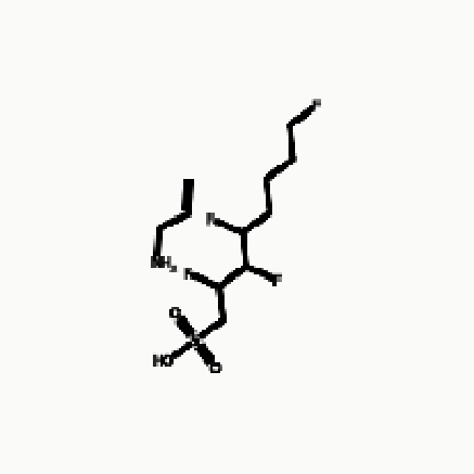 C=CCN.O=S(=O)(O)CC(F)C(F)C(F)CCCCF